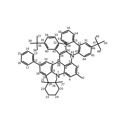 Cc1cc2c3c(c1)N1c4c(cc(-c5ccccc5)cc4C4(C)CCCCC14C)B3c1c(sc3ccc(C(C)(C)C)cc13)N2c1ccc(C(C)(C)C)cc1-c1ccccc1